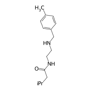 Cc1ccc(CNCCNC(=O)CC(C)C)cc1